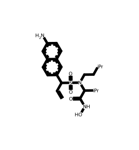 C=CC(c1ccc2cc(N)ccc2c1)S(=O)(=O)N(CCC(C)C)C(C(=O)NO)C(C)C